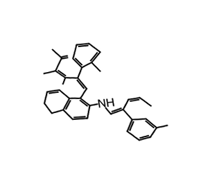 C=C(C)/C(C)=C(/C)C(=Cc1c(N/C=C(\C=C/C)c2cccc(C)c2)ccc2c1C=CCC2)c1ccccc1C